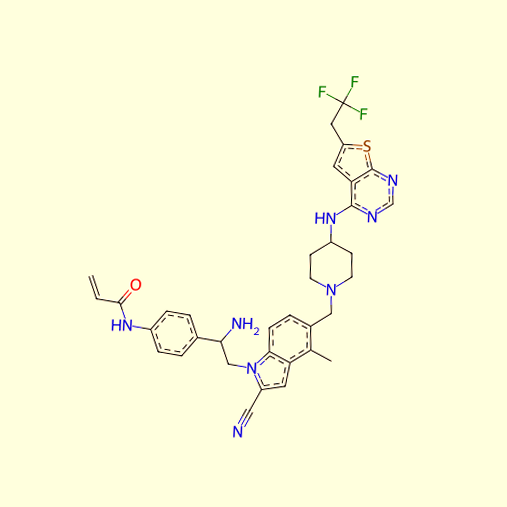 C=CC(=O)Nc1ccc(C(N)Cn2c(C#N)cc3c(C)c(CN4CCC(Nc5ncnc6sc(CC(F)(F)F)cc56)CC4)ccc32)cc1